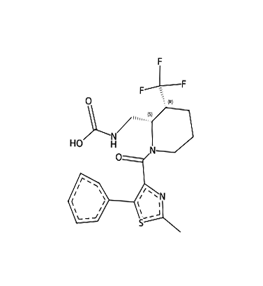 Cc1nc(C(=O)N2CCC[C@@H](C(F)(F)F)[C@H]2CNC(=O)O)c(-c2ccccc2)s1